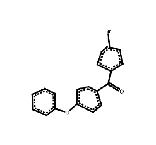 O=C(c1ccc(Br)cc1)c1ccc(Oc2ccccc2)cc1